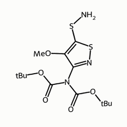 COc1c(N(C(=O)OC(C)(C)C)C(=O)OC(C)(C)C)nsc1SN